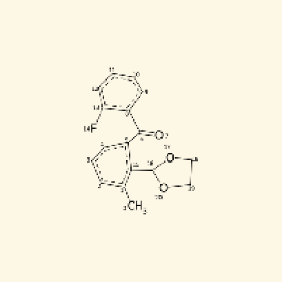 Cc1cccc(C(=O)c2ccccc2F)c1C1OCCO1